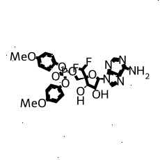 COc1ccc(OP(=O)(OC[C@@]2(C(F)F)O[C@@H](n3cnc4c(N)ncnc43)[C@H](O)[C@@H]2O)Oc2ccc(OC)cc2)cc1